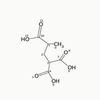 CC(CC(C(=O)O)C(=O)O)C(=O)O